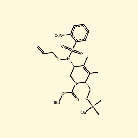 C=CCON([C@H]1CN(C(=O)OC(C)(C)C)[C@@H](CO[Si](C)(C)C(C)(C)C)C(C)=C1C)S(=O)(=O)c1ccccc1[N+](=O)[O-]